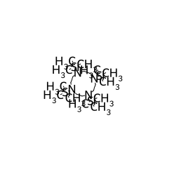 C[Si](C)(C)N1CCN([Si](C)(C)C)CCN([Si](C)(C)C)CCN([Si](C)(C)C)CC1